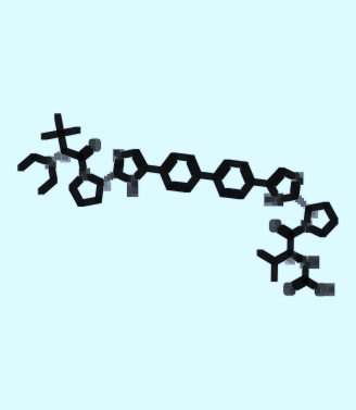 CCN(CC)[C@@H](C(=O)N1CCC[C@H]1c1ncc(-c2ccc(-c3ccc(-c4cnc([C@@H]5CCCN5C(=O)[C@@H](NC(=O)O)C(C)C)[nH]4)cc3)cc2)[nH]1)C(C)(C)C